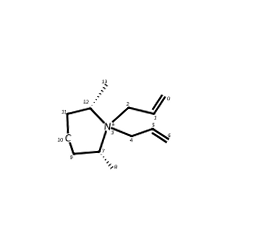 C=CC[N+]1(CC=C)[C@H](C)CCC[C@@H]1C